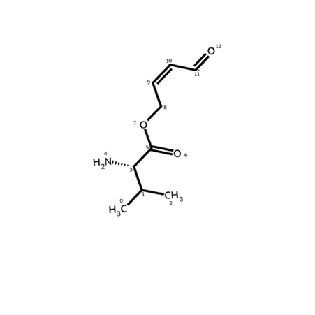 CC(C)[C@H](N)C(=O)OC/C=C\[C]=O